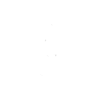 Cc1ccc(F)c2c1NC(C(=O)NC1CNN(C3CCN(C)CC3)C1)C2